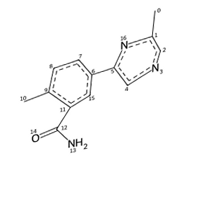 Cc1cncc(-c2ccc(C)c(C(N)=O)c2)n1